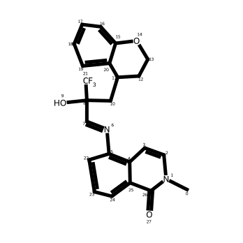 Cn1ccc2c(N=CC(O)(CC3CCOc4ccccc43)C(F)(F)F)cccc2c1=O